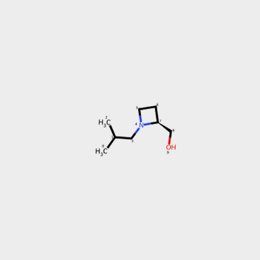 CC(C)CN1CC[C@H]1CO